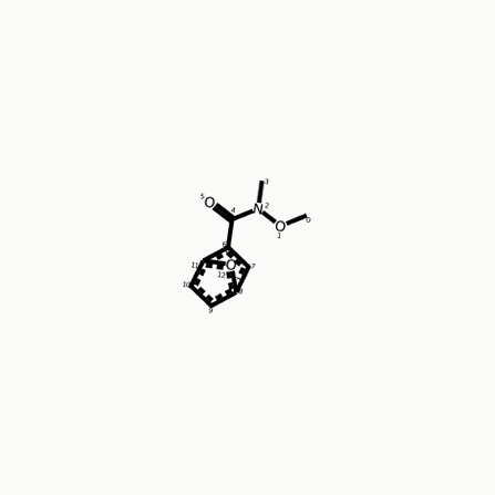 CON(C)C(=O)c1cc2ccc1o2